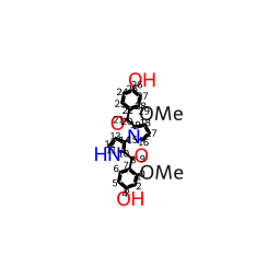 COc1cc(O)ccc1C(=O)c1[nH]ccc1-n1cccc1C(=O)c1ccc(O)cc1OC